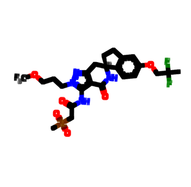 CC(F)(F)COc1ccc2c(c1)CC[C@@]21Cc2nn(CCCOC(F)(F)F)c(NC(=O)CS(C)(=O)=O)c2C(=O)N1